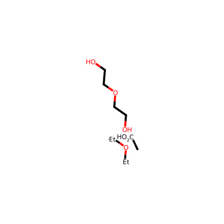 CC(=O)O.C[CH]OCC.OCCOCCO